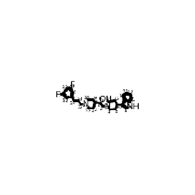 OC(CN1CCC(c2c[nH]c3ccccc23)CC1)C1CCN(CCCc2cc(F)cc(F)c2)CC1